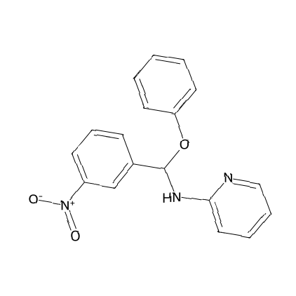 O=[N+]([O-])c1cccc(C(Nc2ccccn2)Oc2ccccc2)c1